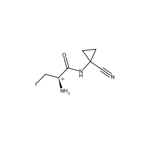 N#CC1(NC(=O)[C@@H](N)CI)CC1